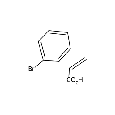 Brc1ccccc1.C=CC(=O)O